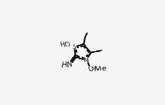 COn1c(C)c(C)sc1=N.Cl